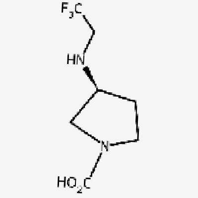 O=C(O)N1CC[C@H](NCC(F)(F)F)C1